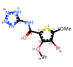 COc1sc(C(=O)Nc2nnn[nH]2)c(OC(C)C)c1Br